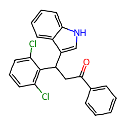 O=C(CC(c1c(Cl)cccc1Cl)c1c[nH]c2ccccc12)c1ccccc1